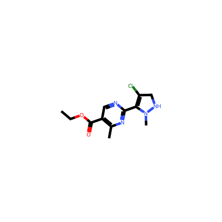 CCOC(=O)c1cnc(C2=C(Cl)CNN2C)nc1C